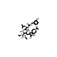 CCOP(=O)(OCC)C(O)C(CC1CC2(CCN(C(C)=O)CC2)NC1=O)NC(=O)[C@@H](CC(C)C)NC(=O)OCc1cccc(Cl)c1